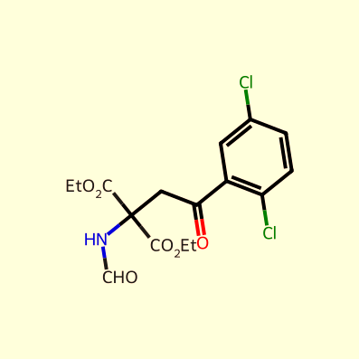 CCOC(=O)C(CC(=O)c1cc(Cl)ccc1Cl)(NC=O)C(=O)OCC